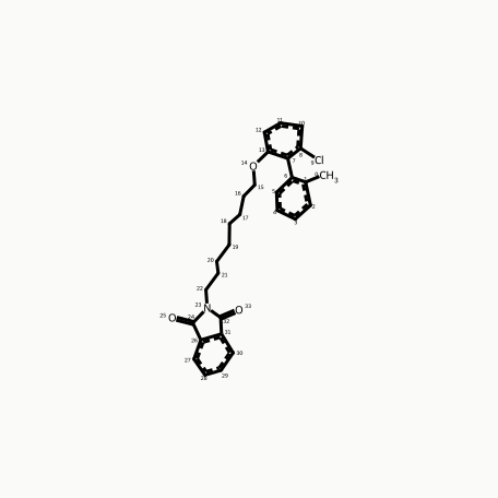 Cc1ccccc1-c1c(Cl)cccc1OCCCCCCCCN1C(=O)c2ccccc2C1=O